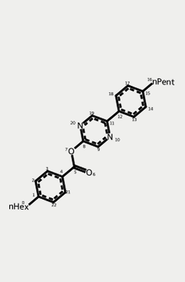 CCCCCCc1ccc(C(=O)Oc2cnc(-c3ccc(CCCCC)cc3)cn2)cc1